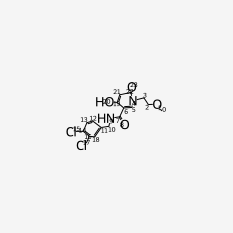 COCCn1cc(C(=O)NCc2ccc(Cl)c(Cl)c2)c(O)cc1=O